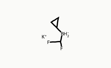 FC(F)[BH2-]C1CC1.[K+]